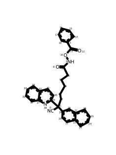 N#CC(CCCCCC(=O)NOC(=O)c1ccccc1)(c1ccc2ccccc2c1)c1ccc2ccccc2n1